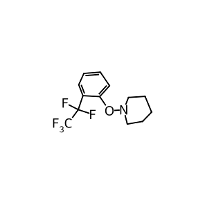 FC(F)(F)C(F)(F)c1ccccc1ON1CCCCC1